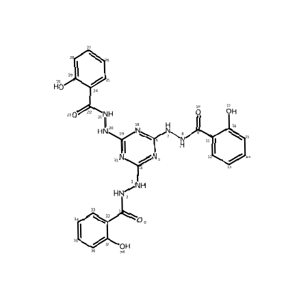 O=C(NNc1nc(NNC(=O)c2ccccc2O)nc(NNC(=O)c2ccccc2O)n1)c1ccccc1O